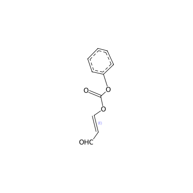 O=C/C=C/OC(=O)Oc1ccccc1